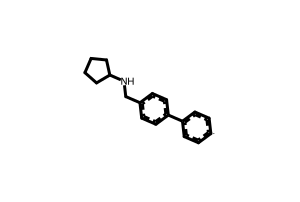 [c]1ccc(-c2ccc(CNC3CCCC3)cc2)cc1